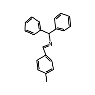 Cc1ccc(C=NC(c2ccccc2)c2ccccc2)cc1